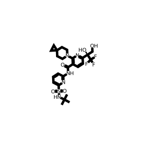 CC(C)(C)NS(=O)(=O)c1cccc(NC(=O)c2ccc([C@](O)(CO)C(F)(F)F)nc2N2CCC3(CC2)CC3)n1